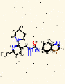 CC1CCN(c2nc(C(F)(F)F)ccc2CNC(=O)Nc2ccc3ncsc3c2)CC1